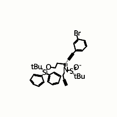 C#CCN([C@@H](C#Cc1cccc(Br)c1)CCO[Si](c1ccccc1)(c1ccccc1)C(C)(C)C)[S+]([O-])C(C)(C)C